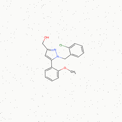 COc1ccccc1-c1cc(CO)nn1Cc1ccccc1Cl